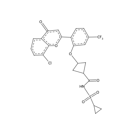 O=C(NS(=O)(=O)C1CC1)C1CC(Oc2cc(C(F)(F)F)ccc2-c2cc(=O)c3cccc(Cl)c3o2)C1